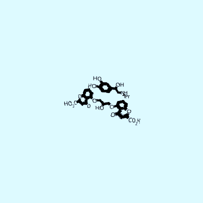 CC(C)NCC(O)c1ccc(O)c(O)c1.O=C(O)c1cc(=O)c2c(OCC(O)COc3cccc4oc(C(=O)O)cc(=O)c34)cccc2o1